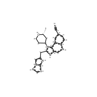 C[C@@H]1CC(n2c(Cc3cn4ncsc4n3)nc3cnc4ccc(C#N)cc4c32)CCO1